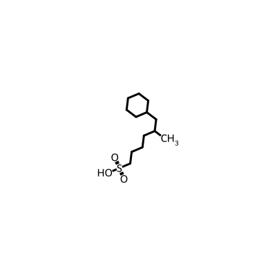 CC(CCCCS(=O)(=O)O)CC1CCCCC1